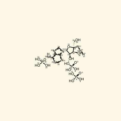 O=P(O)(O)O.O=P(O)(O)O.O=P(O)(O)O.[N-]=[N+]=N[C@]1(CO)O[C@@H](n2cnc3c(N)ncnc32)[C@H](O)[C@@H]1O